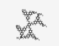 CSc1ccc(N(c2ccc(/C=C/c3cc(/C=C/c4ccc(N(c5ccc(SC)cc5)c5ccc(SC)cc5)cc4)c(/C=C/c4ccc(N(c5ccc(SC)cc5)c5ccc(SC)cc5)cc4)cc3/C=C/c3ccc(N(c4ccc(SC)cc4)c4ccc(SC)cc4)cc3)cc2)c2ccc(SC)cc2)cc1